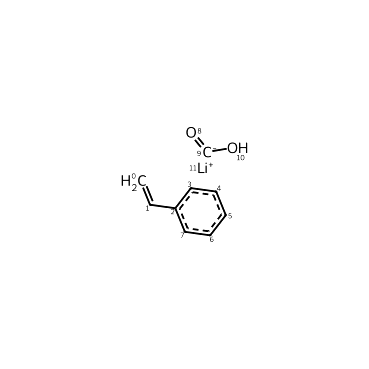 C=Cc1ccccc1.O=[C-]O.[Li+]